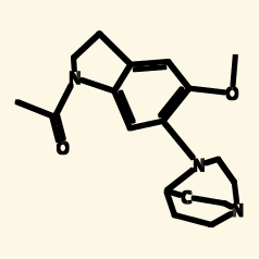 COc1cc2c(cc1N1CCN3CCC1CC3)N(C(C)=O)CC2